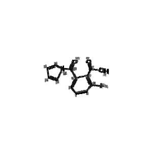 O=C(O)c1c(F)cccc1C(=O)n1cccc1